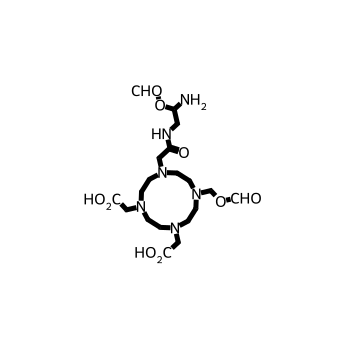 NC(CNC(=O)CN1CCN(COC=O)CCN(CC(=O)O)CCN(CC(=O)O)CC1)OC=O